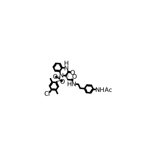 CC(=O)Nc1ccc(CCNC(=O)C[C@@H]2C(=O)Nc3ccccc3N2S(=O)(=O)c2cc(C)c(Cl)cc2C)cc1